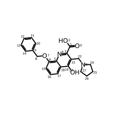 O=C(O)c1nc2c(OCc3ccccc3)cccc2c(O)c1CN1CCCC1